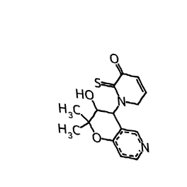 CC1(C)Oc2ccncc2C(N2CC=CC(=O)C2=S)C1O